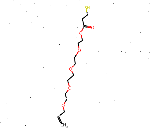 C=CCOCCOCCOCCOCCOC(=O)CCS